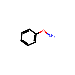 NOc1cc[c]cc1